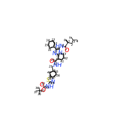 C=C(CC(C)C)C(=O)Nc1c(-c2ccccc2)nc2c(C(=O)NCc3ccc4nc(NC(=O)OC(C)(C)C)sc4c3)cccn12